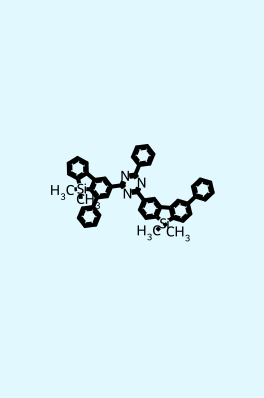 C[Si]1(C)c2ccc(-c3ccccc3)cc2-c2cc(-c3nc(-c4ccccc4)nc(-c4cc(-c5ccccc5)c5c(c4)-c4ccccc4[Si]5(C)C)n3)ccc21